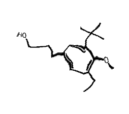 CCc1cc(CCCO)cc(C(C)(C)C)c1OC